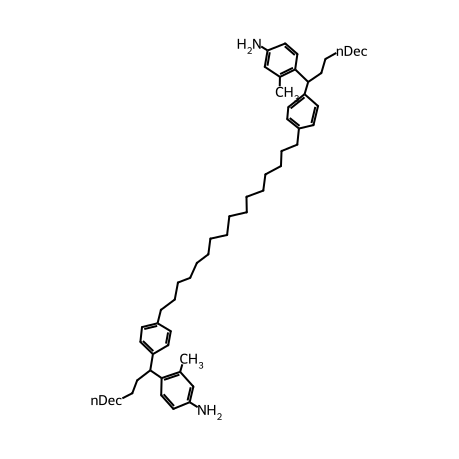 CCCCCCCCCCCCC(c1ccc(CCCCCCCCCCCCCCCCc2ccc(C(CCCCCCCCCCCC)c3ccc(N)cc3C)cc2)cc1)c1ccc(N)cc1C